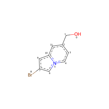 OCc1ccn2cc(Br)cc2c1